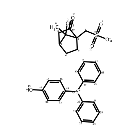 CC1(C)C2CCC1(CS(=O)(=O)[O-])C(=O)C2.Oc1ccc([S+](c2ccccc2)c2ccccc2)cc1